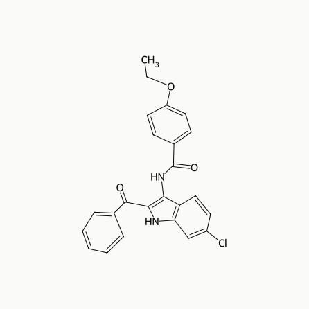 CCOc1ccc(C(=O)Nc2c(C(=O)c3ccccc3)[nH]c3cc(Cl)ccc23)cc1